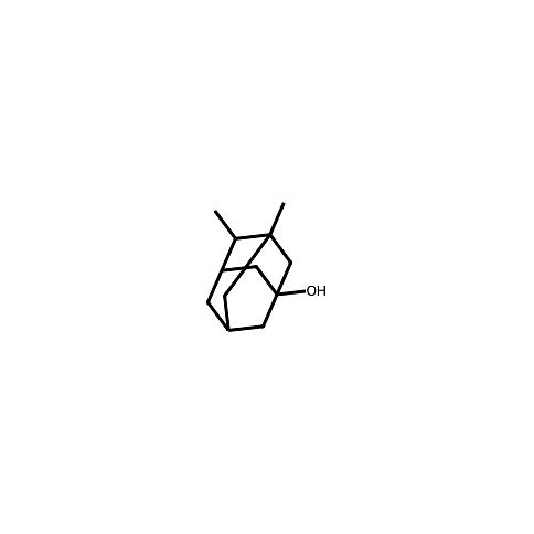 CC1C2CC3CC(O)(C2)CC1(C)C3